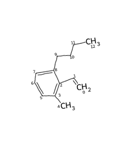 C=Cc1c(C)cccc1CCCC